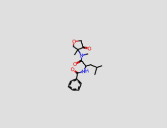 CC(C)CC(NC(=O)c1ccccc1)C(=O)N(C)C1(C)COCC1=O